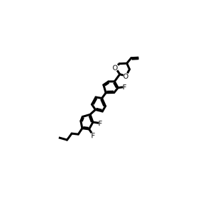 C=CC1COC(c2ccc(-c3ccc(-c4ccc(CCCC)c(F)c4F)cc3)cc2F)OC1